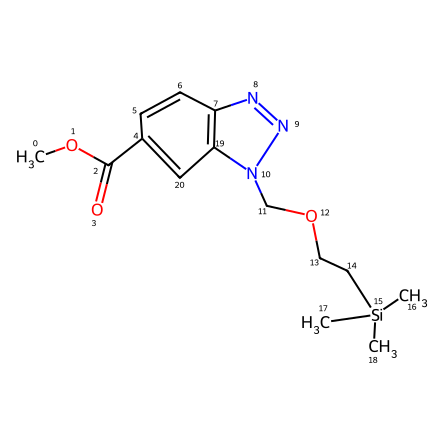 COC(=O)c1ccc2nnn(COCC[Si](C)(C)C)c2c1